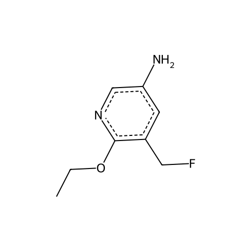 CCOc1ncc(N)cc1CF